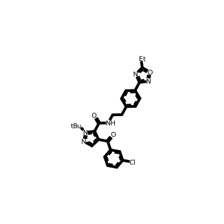 CCc1nc(-c2ccc(CCNC(=O)c3c(C(=O)c4cccc(Cl)c4)cnn3C(C)(C)C)cc2)no1